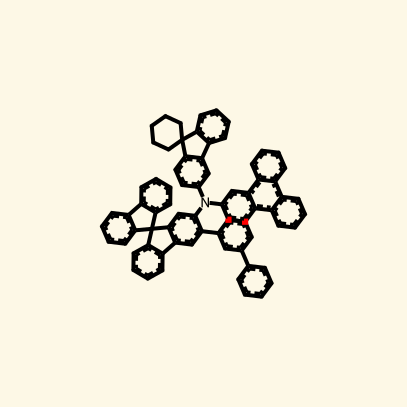 c1ccc(-c2cccc(-c3cc4c(cc3N(c3ccc5c(c3)-c3ccccc3C53CCCCC3)c3ccc5c6ccccc6c6ccccc6c5c3)C3(c5ccccc5-c5ccccc53)c3ccccc3-4)c2)cc1